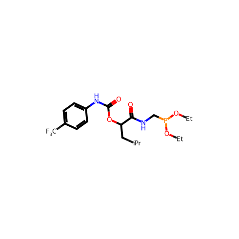 CCOP(CNC(=O)C(CC(C)C)OC(=O)Nc1ccc(C(F)(F)F)cc1)OCC